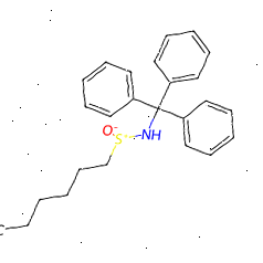 CCCCCC[S+]([O-])NC(c1ccccc1)(c1ccccc1)c1ccccc1